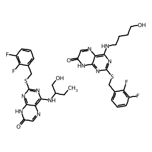 CCC(CO)Nc1nc(SCc2cccc(F)c2F)nc2[nH]c(=O)cnc12.O=c1cnc2c(NCCCCO)nc(SCc3cccc(F)c3F)nc2[nH]1